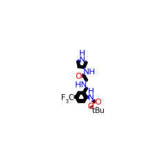 CC(C)(C)OC(=O)Nc1ccc(C(F)(F)F)cc1CNCC(=O)NC1CCNC1